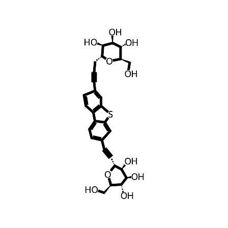 OC[C@H]1O[C@H](CC#Cc2ccc3c(c2)sc2cc(C#C[C@H]4O[C@H](CO)[C@@H](O)[C@H](O)[C@@H]4O)ccc23)[C@@H](O)[C@@H](O)[C@@H]1O